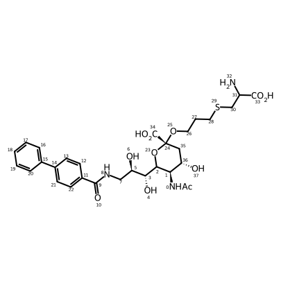 CC(=O)N[C@H]1C([C@H](O)[C@H](O)CNC(=O)c2ccc(-c3ccccc3)cc2)O[C@@](OCCCSCC(N)C(=O)O)(C(=O)O)C[C@@H]1O